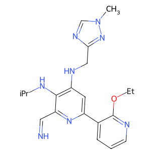 CCOc1ncccc1-c1cc(NCc2ncn(C)n2)c(NC(C)C)c(C=N)n1